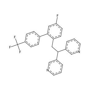 Fc1ccc(CC(c2cccnc2)c2cccnc2)c(-c2ccc(C(F)(F)F)cc2)c1